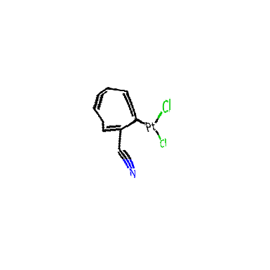 N#Cc1cccc[c]1[Pt]([Cl])[Cl]